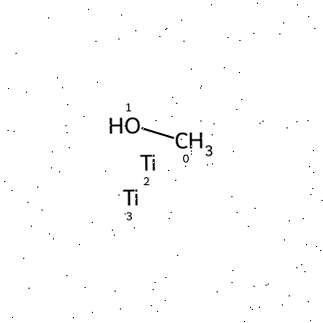 CO.[Ti].[Ti]